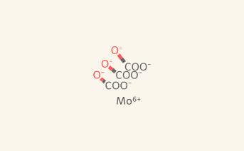 O=C([O-])[O-].O=C([O-])[O-].O=C([O-])[O-].[Mo+6]